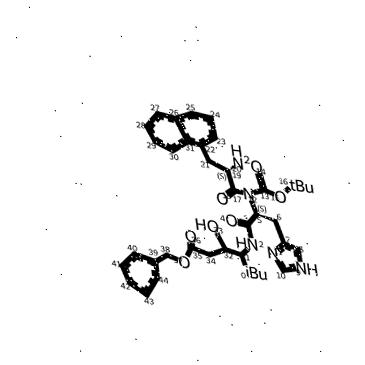 CCC(C)C(NC(=O)[C@H](Cc1c[nH]cn1)N(C(=O)OC(C)(C)C)C(=O)[C@@H](N)Cc1cccc2ccccc12)C(O)CC(=O)OCc1ccccc1